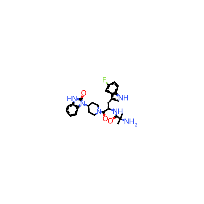 CC(C)(N)C(=O)NC(Cc1c[nH]c2ccc(F)cc12)C(=O)N1CCC(n2c(=O)[nH]c3ccccc32)CC1